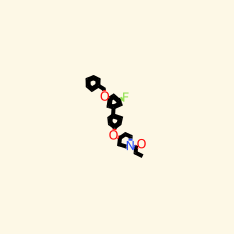 CCC(=O)N1CCC(Oc2ccc(-c3cc(F)cc(OCc4ccccc4)c3)cc2)CC1